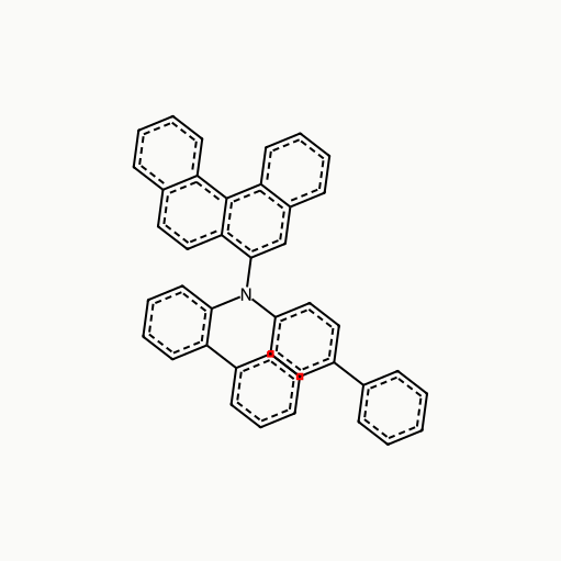 c1ccc(-c2ccc(N(c3ccccc3-c3ccccc3)c3cc4ccccc4c4c3ccc3ccccc34)cc2)cc1